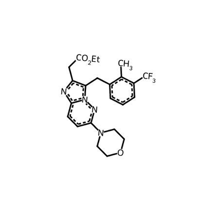 CCOC(=O)Cc1nc2ccc(N3CCOCC3)nn2c1Cc1cccc(C(F)(F)F)c1C